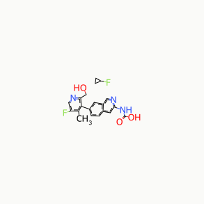 Cc1c(F)cnc(CO)c1-c1ccc2cc(NC(=O)O)ncc2c1.FC1CC1